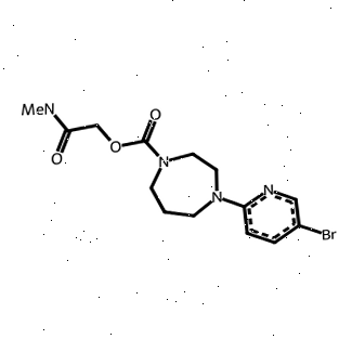 CNC(=O)COC(=O)N1CCCN(c2ccc(Br)cn2)CC1